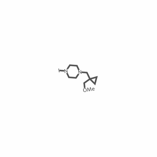 COCC1(CN2CCN(I)CC2)CC1